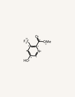 COC(=O)c1ncc(O)cc1C(F)(F)F